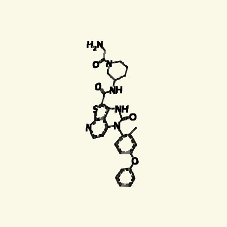 Cc1cc(Oc2ccccc2)ccc1N1C(=O)Nc2c(C(=O)NC3CCCN(C(=O)CN)C3)sc3nccc1c23